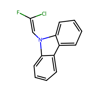 FC(Cl)=Cn1c2ccccc2c2ccccc21